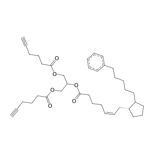 C#CCCCC(=O)OCC(COC(=O)CCCC#C)OC(=O)CCC/C=C\C[C@H]1CCCC1CCCCCc1ccccc1